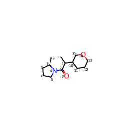 CC(C(=O)N1CCC[C@H]1C)C1CCCOC1